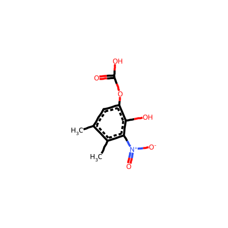 Cc1cc(OC(=O)O)c(O)c([N+](=O)[O-])c1C